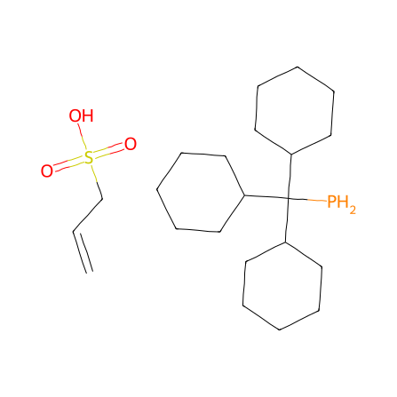 C=CCS(=O)(=O)O.PC(C1CCCCC1)(C1CCCCC1)C1CCCCC1